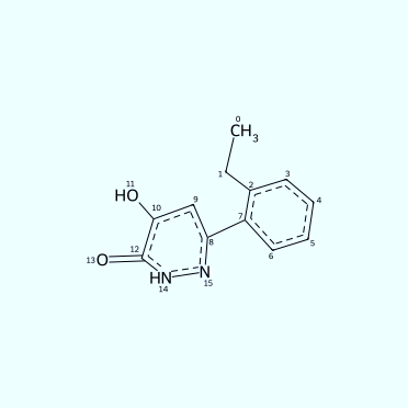 CCc1ccccc1-c1cc(O)c(=O)[nH]n1